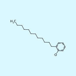 CCCCCCCCCCCCc1ccccc1[O]